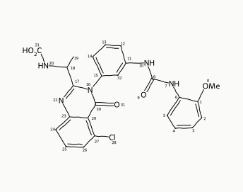 COc1ccccc1NC(=O)Nc1cccc(-n2c(C(C)NC(=O)O)nc3cccc(Cl)c3c2=O)c1